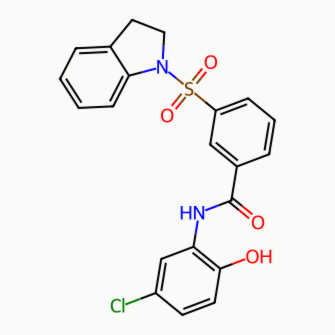 O=C(Nc1cc(Cl)ccc1O)c1cccc(S(=O)(=O)N2CCc3ccccc32)c1